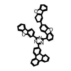 C1=C(c2ccc3c(c2)oc2cccc(-c4nc(-c5ccc6c(c5)oc5ccccc56)nc(-c5ccc6c7ccccc7c7ccccc7c6c5)n4)c23)CCc2oc3ccccc3c21